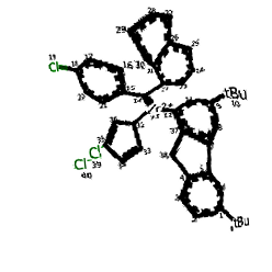 CC(C)(C)c1ccc2c(c1)-c1cc(C(C)(C)C)c[c]([Zr+2](=[C](c3ccc(Cl)cc3)c3cccc4ccccc34)[CH]3C=CC=C3)c1C2.[Cl-].[Cl-]